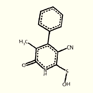 Cc1c(-c2ccccc2)c(C#N)c(SO)[nH]c1=O